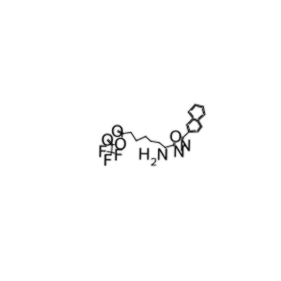 N[C@@H](CCCCCC(=O)OC(=O)C(F)(F)F)c1nnc(-c2ccc3ccccc3c2)o1